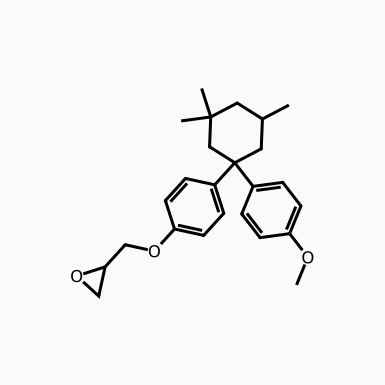 COc1ccc(C2(c3ccc(OCC4CO4)cc3)CC(C)CC(C)(C)C2)cc1